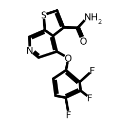 NC(=O)c1csc2cncc(Oc3ccc(F)c(F)c3F)c12